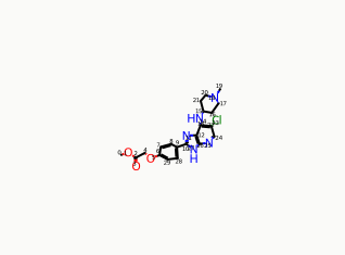 COC(=O)COc1ccc(-c2nc3c(NC4CCN(C)CC4)c(Cl)cnc3[nH]2)cc1